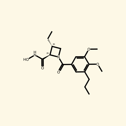 CCCc1cc(C(=O)N2C[C@@H](CC)[C@@H]2C(=O)NO)cc(OC)c1OC